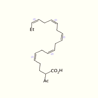 CC/C=C\C/C=C\C/C=C\C/C=C\C/C=C\CCC(C(C)=O)C(=O)O